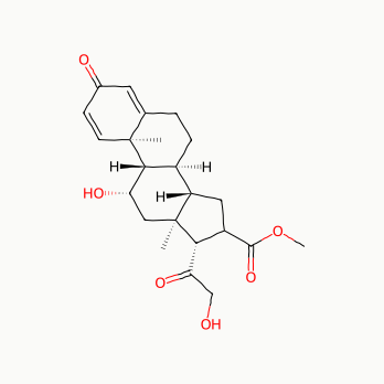 COC(=O)C1C[C@H]2[C@@H]3CCC4=CC(=O)C=C[C@]4(C)[C@H]3[C@@H](O)C[C@]2(C)[C@H]1C(=O)CO